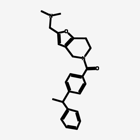 CC(c1ccccc1)c1ccc(C(=O)N2CCc3oc(CN(C)C)cc3C2)cc1